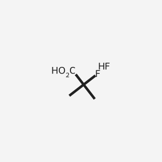 CC(C)(F)C(=O)O.F